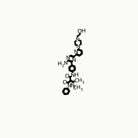 Cc1c(C(=O)Nc2ccc(-c3nc(-c4cccc(N5CCN(CCO)CC5)n4)cnc3N)cc2)c(=O)n(-c2ccccc2)n1C